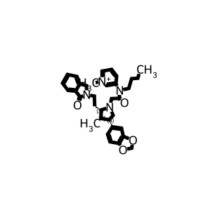 CCCCN(C(=O)CN1C[C@H](c2ccc3c(c2)OCO3)[C@@H](C)[C@@H]1CCN1Cc2ccccc2C1=O)c1ccc[n+](C)c1